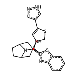 O=C(C1C=C(c2cn[nH]c2)SC1)N1C2CCC1CC(O)(c1nc3ccccc3s1)C2